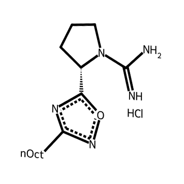 CCCCCCCCc1noc([C@@H]2CCCN2C(=N)N)n1.Cl